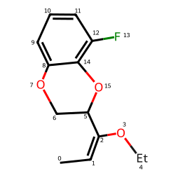 C/C=C(/OCC)C1COc2cccc(F)c2O1